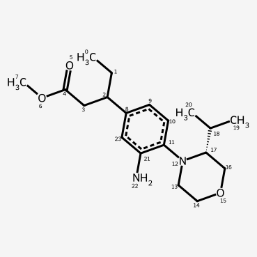 CCC(CC(=O)OC)c1ccc(N2CCOC[C@H]2C(C)C)c(N)c1